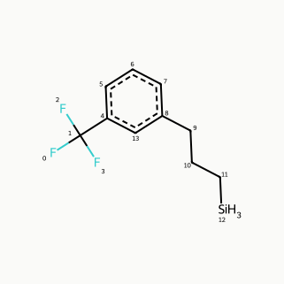 FC(F)(F)c1cccc(CCC[SiH3])c1